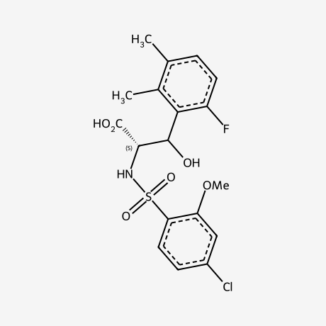 COc1cc(Cl)ccc1S(=O)(=O)N[C@H](C(=O)O)C(O)c1c(F)ccc(C)c1C